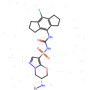 CCN[C@H]1COc2c(S(=O)(=O)NC(=O)Nc3c4c(c(F)c5c3CCC5)CCC4)cnn2C1